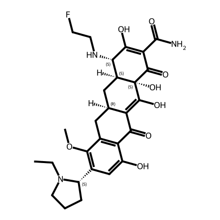 CCN1CCC[C@H]1c1cc(O)c2c(c1OC)C[C@H]1C[C@H]3[C@H](NCCF)C(O)=C(C(N)=O)C(=O)[C@@]3(O)C(O)=C1C2=O